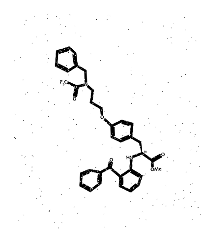 COC(=O)[C@H](Cc1ccc(OCCCN(Cc2ccccc2)C(=O)C(F)(F)F)cc1)Nc1ccccc1C(=O)c1ccccc1